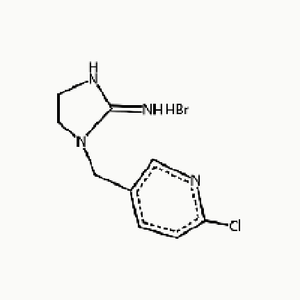 Br.N=C1NCCN1Cc1ccc(Cl)nc1